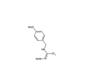 CN/N=C(\NCc1ccc(OC)cc1)C(F)(F)F